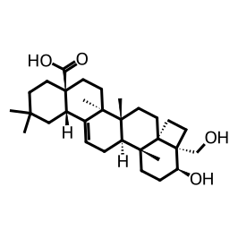 CC1(C)CC[C@]2(C(=O)O)CC[C@]3(C)C(=CC[C@@H]4[C@@]5(C)CC[C@H](O)[C@]6(CO)CC[C@]65CC[C@]43C)[C@@H]2C1